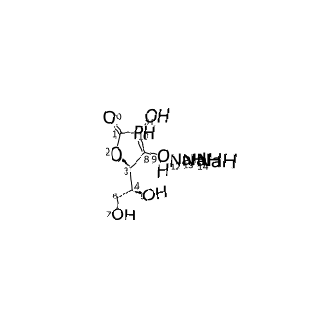 O=C1O[C@H]([C@@H](O)CO)C(O)=[PH]1O.[NaH].[NaH].[NaH]